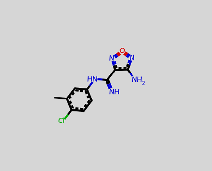 Cc1cc(NC(=N)c2nonc2N)ccc1Cl